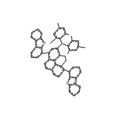 Cc1cc(C)c(B(c2cc(-c3cccc4c3oc3ccccc34)c3ccc4ccc(-c5cccc6c5oc5ccccc56)c5c4c3c2CC5)c2c(C)cc(C)cc2C)c(C)c1